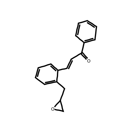 O=C(/C=C/c1ccccc1CC1CO1)c1ccccc1